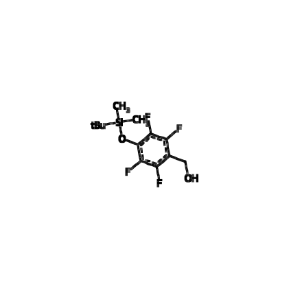 CC(C)(C)[Si](C)(C)Oc1c(F)c(F)c(CO)c(F)c1F